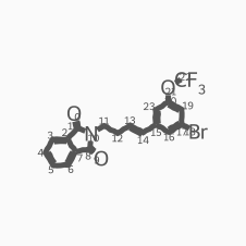 O=C1c2ccccc2C(=O)N1CCC=Cc1cc(Br)cc(OC(F)(F)F)c1